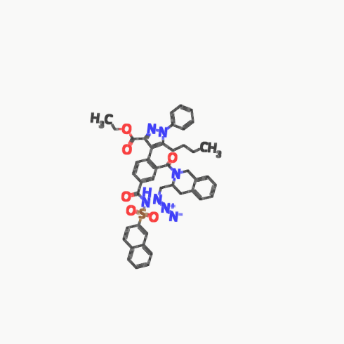 CCCCc1c(-c2ccc(C(=O)NS(=O)(=O)c3ccc4ccccc4c3)cc2C(=O)N2Cc3ccccc3CC2CN=[N+]=[N-])c(C(=O)OCC)nn1-c1ccccc1